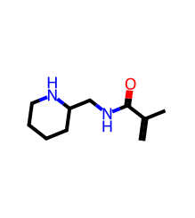 C=C(C)C(=O)NCC1CCCCN1